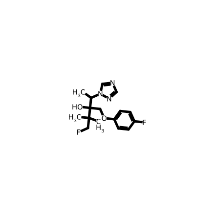 CC(n1cncn1)C(O)(COc1ccc(F)cc1)C(C)(C)CF